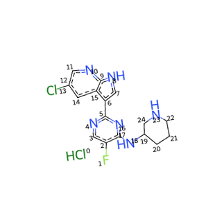 Cl.Fc1cnc(-c2c[nH]c3ncc(Cl)cc23)nc1NC1CCCNC1